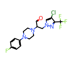 O=CC(Cn1cc(Cl)c(C(F)(F)F)n1)N1CCN(c2ccc(F)cc2)CC1